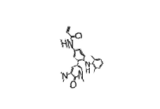 C=CC(=O)Nc1ccc(Nc2c(C)cccc2C)c(-c2cc(N(C)C)c(=O)n(C)c2)c1